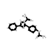 CC(=O)Oc1ccc(-c2nc(-c3ccccc3)nn2C(C)=O)cc1